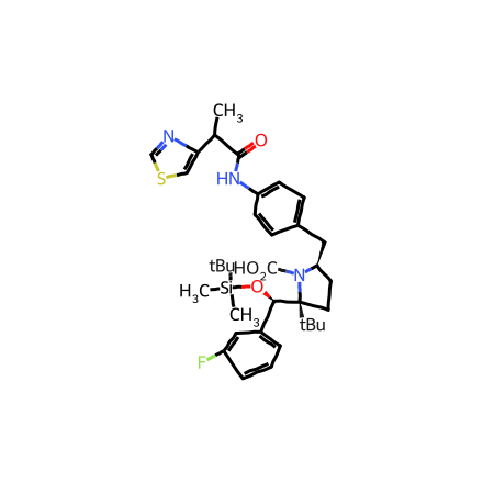 CC(C(=O)Nc1ccc(C[C@H]2CC[C@@]([C@H](O[Si](C)(C)C(C)(C)C)c3cccc(F)c3)(C(C)(C)C)N2C(=O)O)cc1)c1cscn1